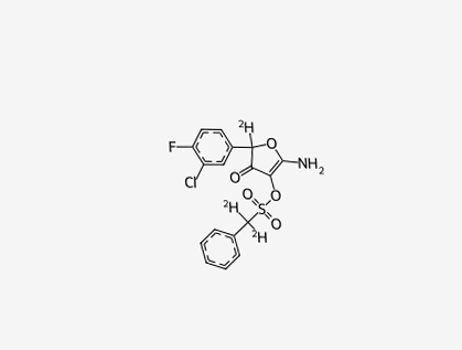 [2H]C1(c2ccc(F)c(Cl)c2)OC(N)=C(OS(=O)(=O)C([2H])([2H])c2ccccc2)C1=O